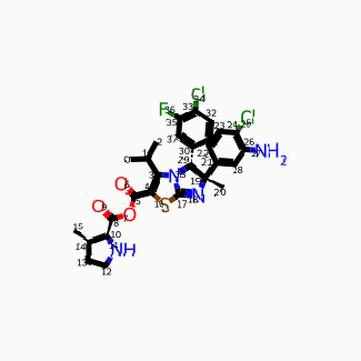 CC(C)C1=C(C(=O)OC(=O)[C@H]2NCC[C@H]2C)SC2=N[C@@](C)(c3ccc(Cl)c(N)c3)[C@@H](c3ccc(Cl)c(F)c3)N21